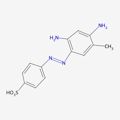 Cc1cc(N=Nc2ccc(S(=O)(=O)O)cc2)c(N)cc1N